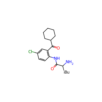 CCC(C)C(N)C(=O)Nc1ccc(Cl)cc1C(=O)C1CCCCC1